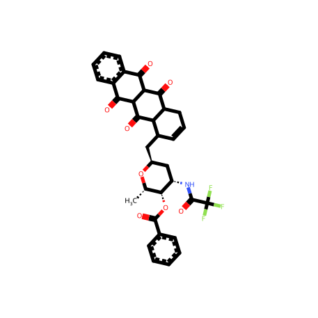 C[C@@H]1O[C@@H](CC2C=CCC3C(=O)C4C(=O)c5ccccc5C(=O)C4C(=O)C23)C[C@H](NC(=O)C(F)(F)F)[C@@H]1OC(=O)c1ccccc1